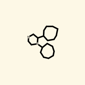 C1CCCC(C2C[N]CCN2C2CCCCCCC2)CCC1